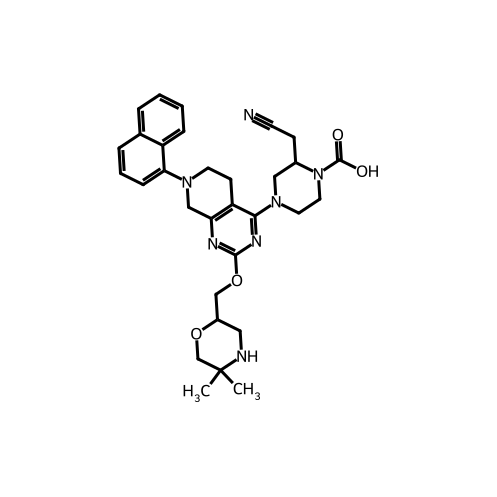 CC1(C)COC(COc2nc3c(c(N4CCN(C(=O)O)C(CC#N)C4)n2)CCN(c2cccc4ccccc24)C3)CN1